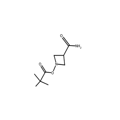 CC(C)(C)C(=O)ON1CC(C(N)=O)C1